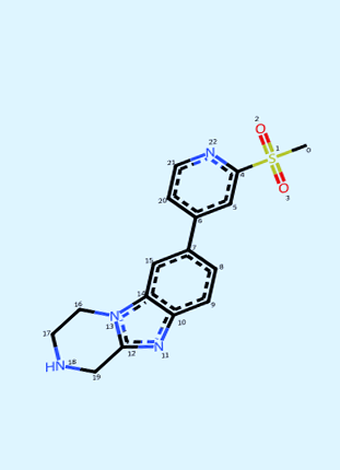 CS(=O)(=O)c1cc(-c2ccc3nc4n(c3c2)CCNC4)ccn1